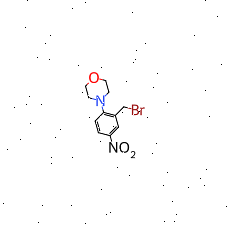 O=[N+]([O-])c1ccc(N2CCOCC2)c(CBr)c1